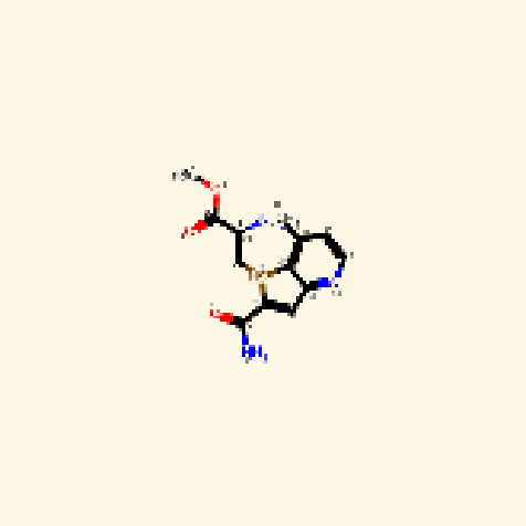 CCCCOC(=O)[C@@H](N)C[SH]1C(C(N)=O)=Cc2nccc(C)c21